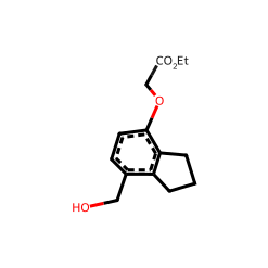 CCOC(=O)COc1ccc(CO)c2c1CCC2